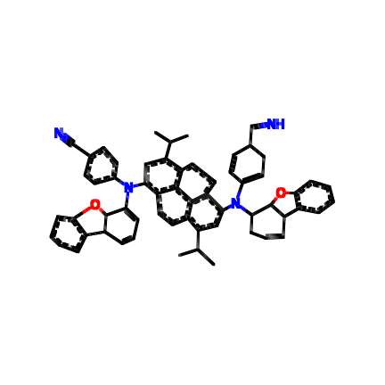 CC(C)c1cc(N(C2=CC=CC3c4ccccc4OC23)c2ccc(C#N)cc2)c2ccc3c(C(C)C)cc(N(C4=CCC(C=N)C=C4)C4CC=CC5c6ccccc6OC54)c4ccc1c2c34